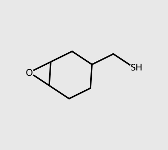 SCC1CCC2OC2C1